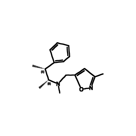 Cc1cc(CN(C)[C@H](C)[C@H](C)c2ccccc2)on1